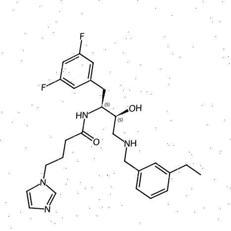 CCc1cccc(CNC[C@H](O)[C@H](Cc2cc(F)cc(F)c2)NC(=O)CCCn2ccnc2)c1